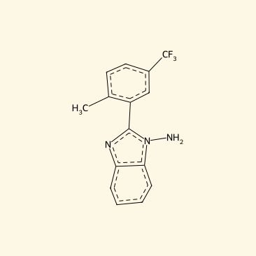 Cc1ccc(C(F)(F)F)cc1-c1nc2ccccc2n1N